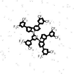 FC(F)(F)c1cc(-c2cc(-n3c4ccc(-c5cc(C(F)(F)F)cc(C(F)(F)F)c5)cc4c4cc(-c5cc(C(F)(F)F)cc(C(F)(F)F)c5)ccc43)nc(-n3c4ccc(-c5cc(C(F)(F)F)cc(C(F)(F)F)c5)cc4c4cc(-c5cc(C(F)(F)F)cc(C(F)(F)F)c5)ccc43)c2)cc(C(F)(F)F)c1